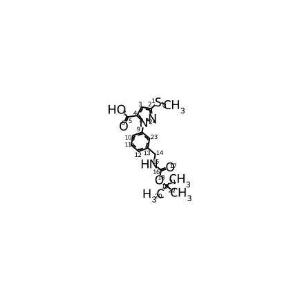 CSc1cc(C(=O)O)n(-c2cccc(CNC(=O)OC(C)(C)C)c2)n1